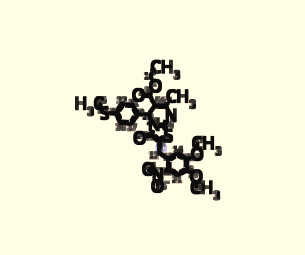 CCOC(=O)C1=C(C)N=c2s/c(=C\c3cc(OC)c(OC)cc3[N+](=O)[O-])c(=O)n2C1c1ccc(SC)cc1